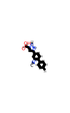 [C-]#[N+]c1cc(-c2cc(C(=O)O)n(C)n2)ccc1-c1ccc(C)cc1